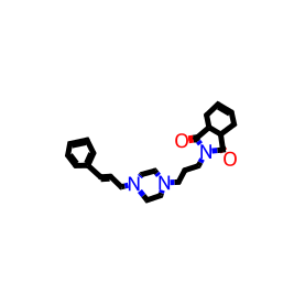 O=C1C2CC=CCC2C(=O)N1CCCN1CCN(CC=Cc2ccccc2)CC1